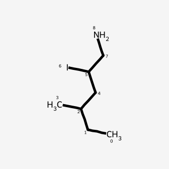 CCC(C)CC(I)CN